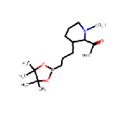 COC(=O)C1C(CCCB2OC(C)(C)C(C)(C)O2)CCCN1C(=O)O